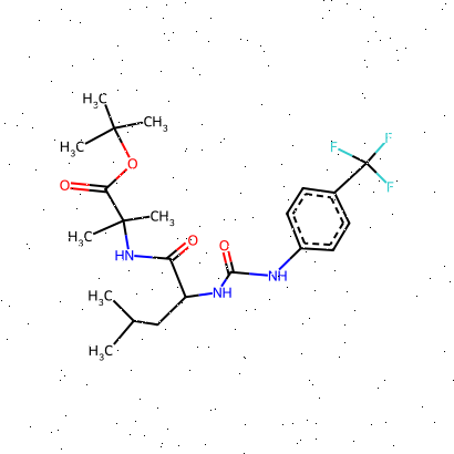 CC(C)CC(NC(=O)Nc1ccc(C(F)(F)F)cc1)C(=O)NC(C)(C)C(=O)OC(C)(C)C